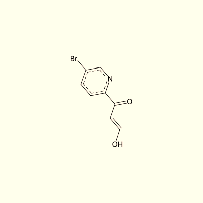 O=C(C=CO)c1ccc(Br)cn1